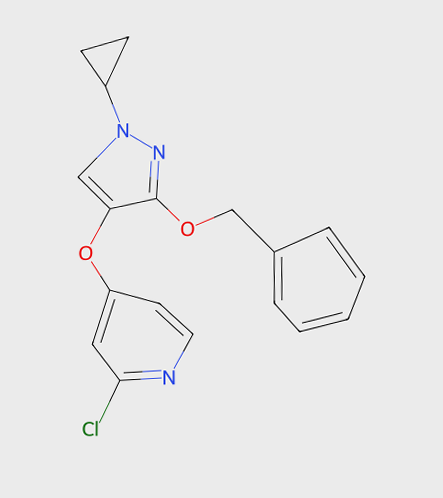 Clc1cc(Oc2cn(C3CC3)nc2OCc2ccccc2)ccn1